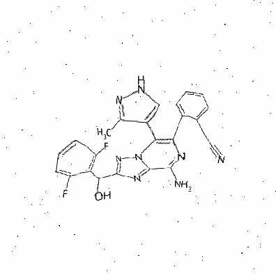 Cc1n[nH]cc1-c1c(-c2ccccc2C#N)nc(N)c2nc(C(O)c3c(F)cccc3F)nn12